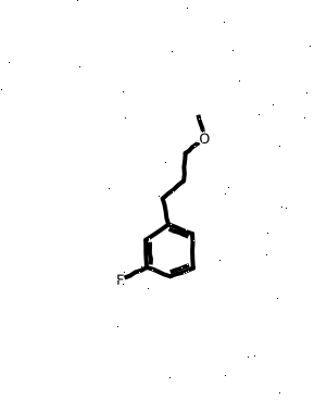 COCCCc1cccc(F)c1